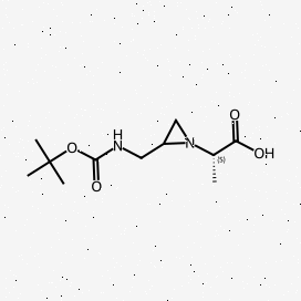 C[C@@H](C(=O)O)N1CC1CNC(=O)OC(C)(C)C